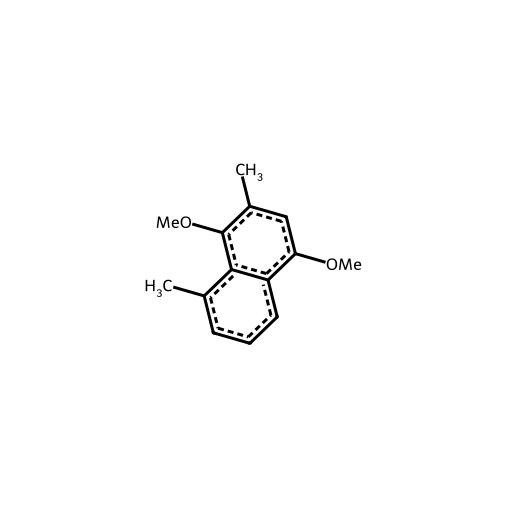 COc1cc(C)c(OC)c2c(C)cccc12